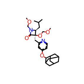 COCO[C@@]1(Cc2cc(OC3C4CC5CC(C4)CC3C5)ccn2)C(=O)N(COC)[C@H]1CC(C)C